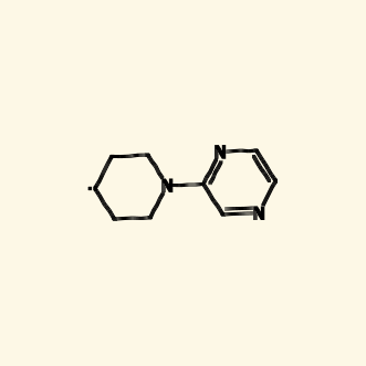 [CH]1CCN(c2cnccn2)CC1